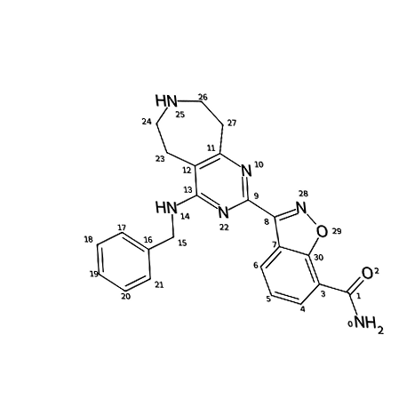 NC(=O)c1cccc2c(-c3nc4c(c(NCc5ccccc5)n3)CCNCC4)noc12